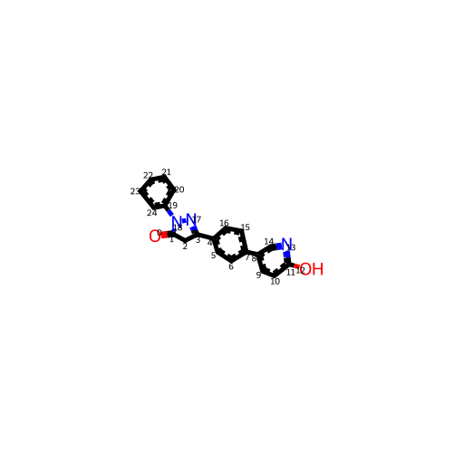 O=C1CC(c2ccc(-c3ccc(O)nc3)cc2)=NN1c1ccccc1